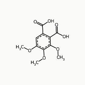 COc1cc(C(=O)O)c(C(=O)O)c(OC)c1OC